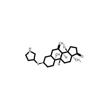 C=C1CC2C[C@H](SC3CCNC3)CC[C@]2(C)[C@H]2CC[C@]3(C)C(=O)CC[C@H]3[C@H]12